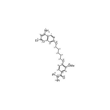 CCC(=O)/N=C(/N)c1ccc(OCCCCCOc2ccc(C(=O)N(C(C)C)C(C)C)cc2OC)cc1